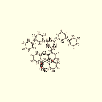 c1ccc(-c2cccc(-c3nc(-c4cccc(-c5ccccc5)c4)nc(-c4cccc5c4Oc4ccccc4C54c5ccccc5Oc5ccccc54)n3)c2)cc1